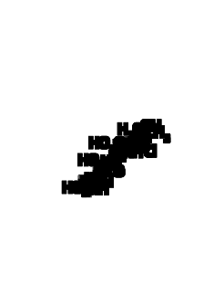 CC(C)(O)c1cc(Cl)cc([C@H](CC(=O)O)NC(=O)CNC(=O)c2cc(O)cc(NC3=NCC(O)CN3)c2)c1